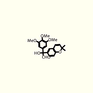 COc1cc(C(O)(C=O)c2ccc3c(c2)C=CC(C)(C)O3)cc(OC)c1OC